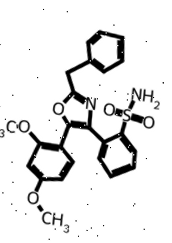 COc1ccc(-c2oc(Cc3ccccc3)nc2-c2ccccc2S(N)(=O)=O)c(OC)c1